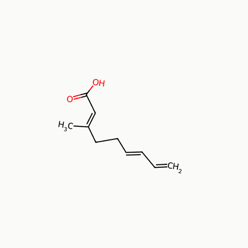 C=CC=CCCC(C)=CC(=O)O